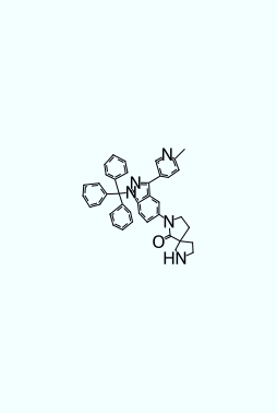 Cc1ccc(-c2nn(C(c3ccccc3)(c3ccccc3)c3ccccc3)c3ccc(N4CCC5(CCNC5)C4=O)cc23)cn1